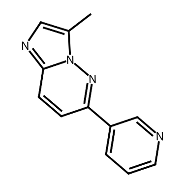 Cc1cnc2ccc(-c3cccnc3)nn12